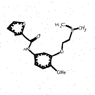 COc1ccc(NC(=O)c2cccs2)cc1OCCN(C)C